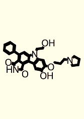 O=C1NC(=O)c2c1c(-c1ccccc1)cc1c2c2cc(O)c(OCCCN3CCCC3)cc2n1CCO